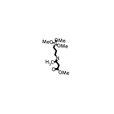 COC(=O)C/C(C)=N/CCC[Si](OC)(OC)OC